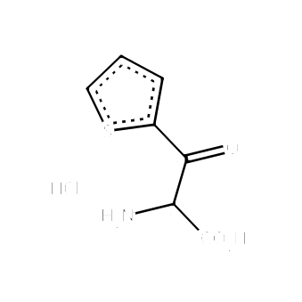 Cl.NC(C(=O)O)C(=O)c1cccs1